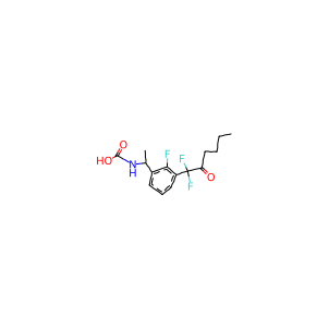 CCCCC(=O)C(F)(F)c1cccc(C(C)NC(=O)O)c1F